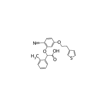 Cc1ccccc1C(Oc1cc(OCCc2ccsc2)ccc1C#N)C(=O)O